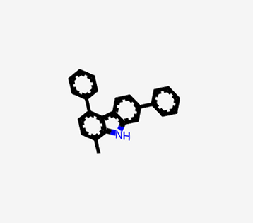 Cc1ccc(-c2ccccc2)c2c1[nH]c1cc(-c3ccccc3)ccc12